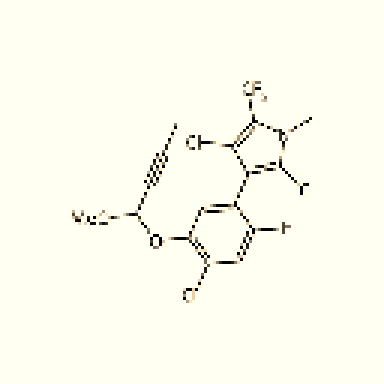 CC#CC(OC)Oc1cc(-c2c(Cl)c(C(F)(F)F)n(C)c2Cl)c(F)cc1Cl